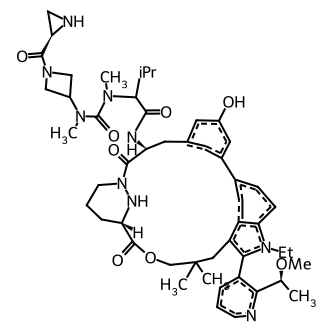 CCn1c(-c2cccnc2[C@H](C)OC)c2c3cc(ccc31)-c1cc(O)cc(c1)C[C@H](NC(=O)C(C(C)C)N(C)C(=O)N(C)C1CN(C(=O)[C@H]3CN3)C1)C(=O)N1CCC[C@H](N1)C(=O)OCC(C)(C)C2